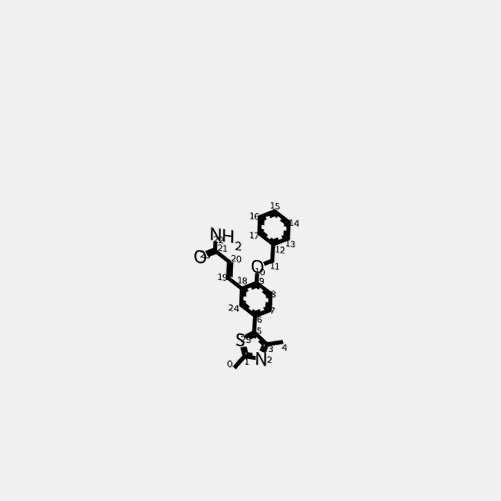 Cc1nc(C)c(-c2ccc(OCc3ccccc3)c(/C=C/C(N)=O)c2)s1